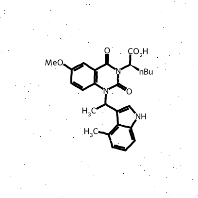 CCCC[C@H](C(=O)O)n1c(=O)c2cc(OC)ccc2n(C(C)c2c[nH]c3cccc(C)c23)c1=O